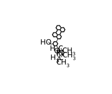 CCCCP(OCc1cc(CO)cc(-c2ccc3c4cccc5cccc(c6cccc2c63)c54)c1)N(C(C)C)C(C)C